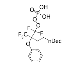 CCCCCCCCCCCCC(Oc1ccccc1)(C(F)(F)F)C(F)(F)OOP(=O)(O)O